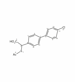 CC(=O)SC(C(=O)O)c1ccc(-c2ccc(Cl)cc2)cc1